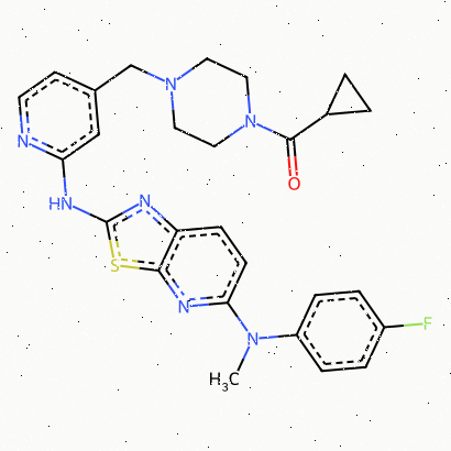 CN(c1ccc(F)cc1)c1ccc2nc(Nc3cc(CN4CCN(C(=O)C5CC5)CC4)ccn3)sc2n1